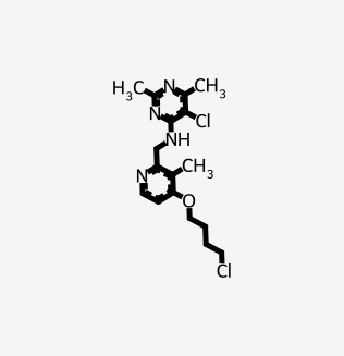 Cc1nc(C)c(Cl)c(NCc2nccc(OCCCCCl)c2C)n1